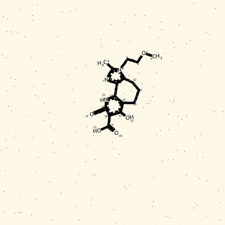 COCCn1c(C)nc2c1CCCc1c-2[nH]c(=O)c(C(=O)O)c1O